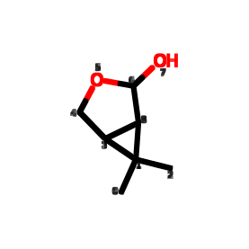 CC1(C)C2COC(O)C21